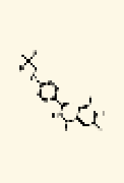 C/C=C/C(=C\C(C)=N)C(C)NC(=O)c1ccc(OCC(C)(F)F)cc1